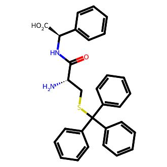 N[C@@H](CSC(c1ccccc1)(c1ccccc1)c1ccccc1)C(=O)N[C@@H](C(=O)O)c1ccccc1